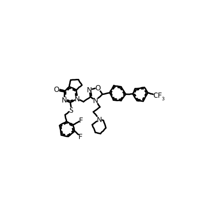 O=c1nc(SCc2cccc(F)c2F)n(CC2=NOC(c3ccc(-c4ccc(C(F)(F)F)cc4)cc3)N2CCN2CCCCC2)c2c1CCC2